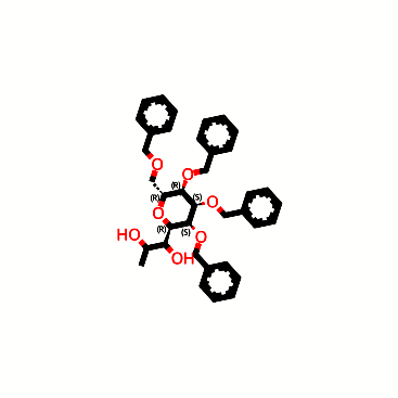 CC(O)C(O)[C@H]1O[C@H](COCc2ccccc2)[C@@H](OCc2ccccc2)[C@H](OCc2ccccc2)[C@@H]1OCc1ccccc1